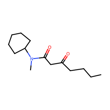 CCCCC(=O)CC(=O)N(C)C1CCCCC1